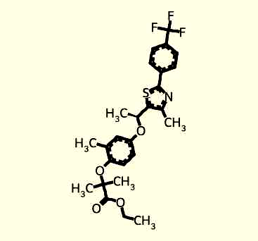 CCOC(=O)C(C)(C)Oc1ccc(O[C@@H](C)c2sc(-c3ccc(C(F)(F)F)cc3)nc2C)cc1C